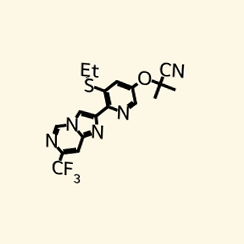 CCSc1cc(OC(C)(C)C#N)cnc1-c1cn2cnc(C(F)(F)F)cc2n1